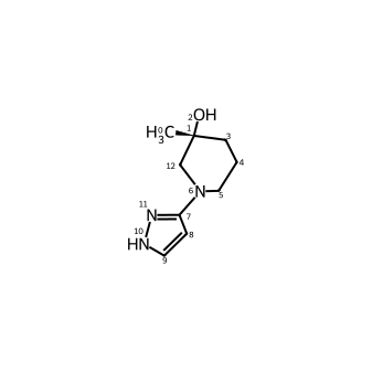 C[C@@]1(O)CCCN(c2cc[nH]n2)C1